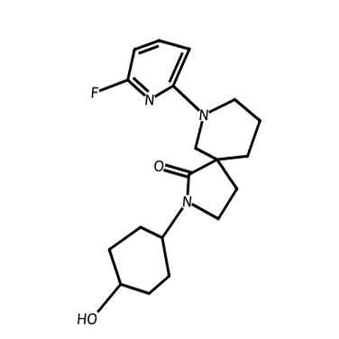 O=C1N(C2CCC(O)CC2)CCC12CCCN(c1cccc(F)n1)C2